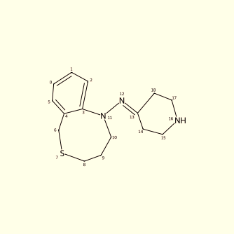 c1ccc2c(c1)CSCCCN2N=C1CCNCC1